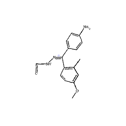 COc1ccc(/C(=N\NC=O)c2ccc(N)cc2)c(C)c1